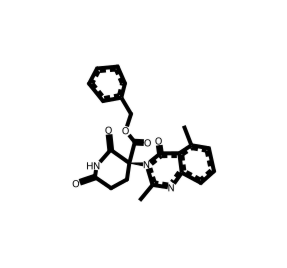 Cc1cccc2nc(C)n([C@@]3(C(=O)OCc4ccccc4)CCC(=O)NC3=O)c(=O)c12